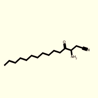 CCCCCCCCCCCC(=O)C(N)CC#N